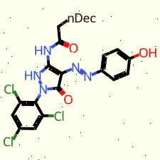 CCCCCCCCCCCC(=O)Nc1[nH]n(-c2c(Cl)cc(Cl)cc2Cl)c(=O)c1N=Nc1ccc(O)cc1